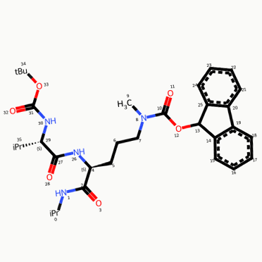 CC(C)NC(=O)[C@H](CCCN(C)C(=O)OC1c2ccccc2-c2ccccc21)NC(=O)[C@@H](NC(=O)OC(C)(C)C)C(C)C